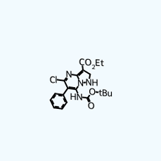 CCOC(=O)C1=C2N=C(Cl)C(c3ccccc3)=C(NC(=O)OC(C)(C)C)N2NC1